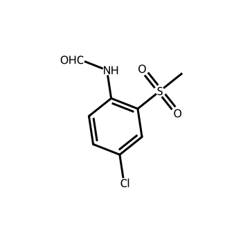 CS(=O)(=O)c1cc(Cl)ccc1NC=O